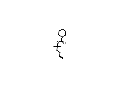 C=CCCC(C)(C)OC(=O)N1CCCCC1